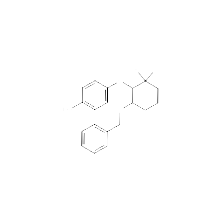 Oc1ccc(OC2C(OCc3ccccc3)CCCC2(F)F)cc1